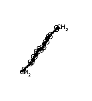 C=CC(=O)OCCCCCCOC(=O)Oc1ccc(C(=O)Oc2ccc(C(=O)O[C@H]3COC4C3OC[C@@H]4OC(=O)c3ccc(OC(=O)c4ccc(OC(=O)OCCCCCCOC(=O)C=C)cc4)cc3)cc2)cc1